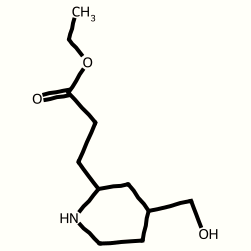 CCOC(=O)CCC1CC(CO)CCN1